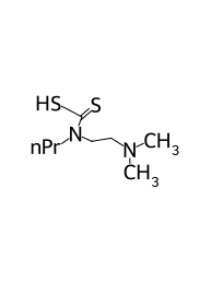 CCCN(CCN(C)C)C(=S)S